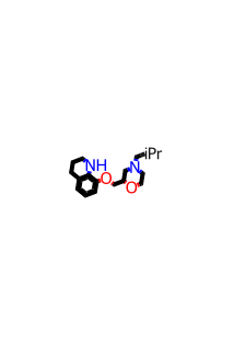 CC(C)CN1CCOC(COc2cccc3c2NCCC3)C1